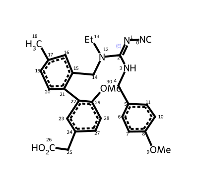 [C-]#[N+]/N=C(\NCc1ccc(OC)cc1)N(CC)Cc1cc(C)ccc1-c1cc(CC(=O)O)ccc1OC